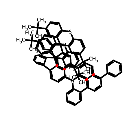 CC(C)(C)c1ccc2c(c1)C1(c3cc(C(C)(C)C)ccc3O2)c2ccccc2-c2ccc(N(c3ccccc3-c3ccc(-c4ccccc4)cc3)c3ccccc3-c3ccc4c(c3)C3(c5cc(C(C)(C)C)ccc5Sc5ccc(C(C)(C)C)cc53)c3ccccc3-4)cc21